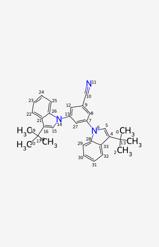 CC(C)(C)c1cn(-c2cc(C#N)cc(-n3cc(C(C)(C)C)c4ccccc43)c2)c2ccccc12